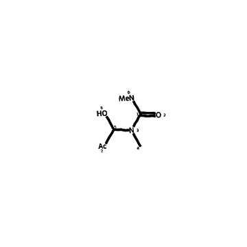 CNC(=O)N(C)C(O)C(C)=O